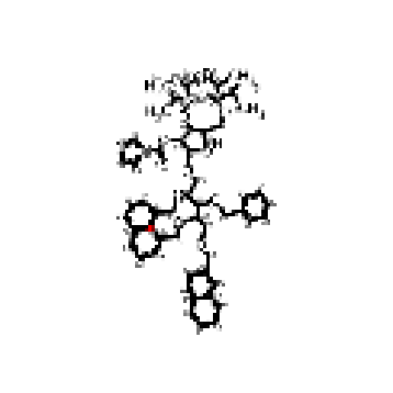 CC(C)[Si]1(C(C)C)OC[C@H]2O[C@@H](OCC(OCc3ccccc3)C(OCc3ccccc3)C(COCc3ccc4ccccc4c3)OCc3ccccc3)C(OC(=S)n3ccnc3)C2O[Si](C(C)C)(C(C)C)O1